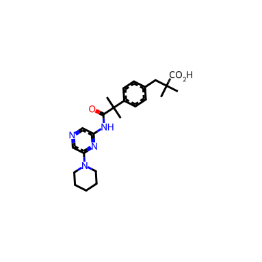 CC(C)(Cc1ccc(C(C)(C)C(=O)Nc2cncc(N3CCCCC3)n2)cc1)C(=O)O